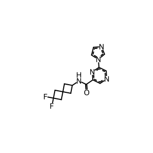 O=C(NC1CC2(C1)CC(F)(F)C2)c1cncc(-n2ccnc2)n1